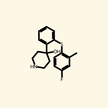 Cc1cc(F)ccc1Sc1ccccc1C1(O)CCNCC1